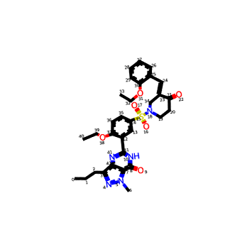 CCCc1nn(C)c2c(=O)[nH]c(-c3cc(S(=O)(=O)N4CCC(=O)C(=Cc5ccccc5OCC)C4)ccc3OCC)nc12